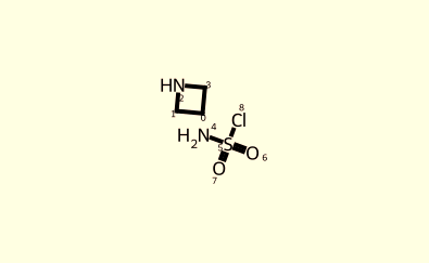 C1CNC1.NS(=O)(=O)Cl